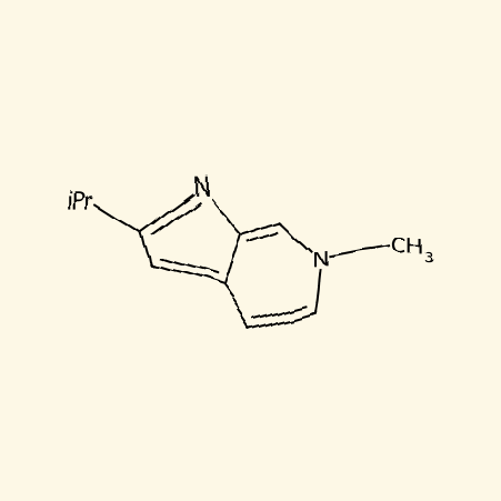 CC(C)c1cc2ccn(C)cc-2n1